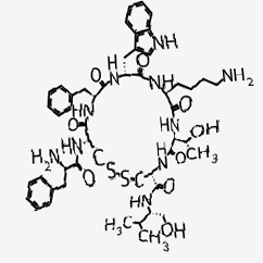 CC(C)[C@@H](CO)NC(=O)[C@@H]1CSSC[C@H](NC(=O)[C@H](N)Cc2ccccc2)C(=O)N[C@@H](Cc2ccccc2)C(=O)N[C@H](Cc2c[nH]c3ccccc23)C(=O)N[C@@H](CCCCN)C(=O)N[C@@H]([C@@H](C)O)C(=O)N1